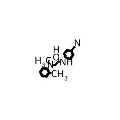 Cc1ccccc1N(C)CC(O)Nc1ccc(C#N)cc1